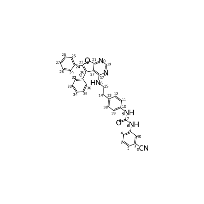 N#Cc1cccc(NC(=O)Nc2ccc(CCNc3ncnc4oc(-c5ccccc5)c(-c5ccccc5)c34)cc2)c1